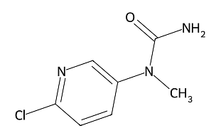 CN(C(N)=O)c1ccc(Cl)nc1